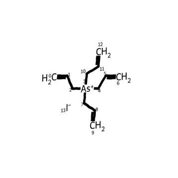 C=CC[As+](CC=C)(CC=C)CC=C.[I-]